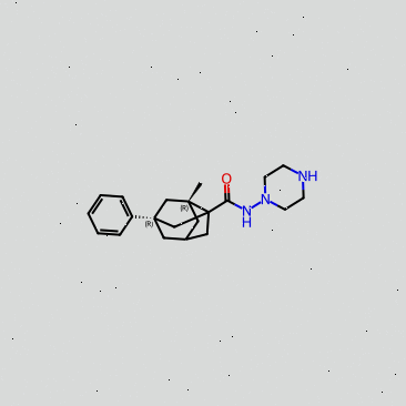 C[C@]12CC3CC1(C(=O)NN1CCNCC1)C[C@@](c1ccccc1)(C3)C2